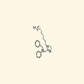 CCCCCCCN1CCN=C1CN(Cc1ccccc1)c1ccccc1